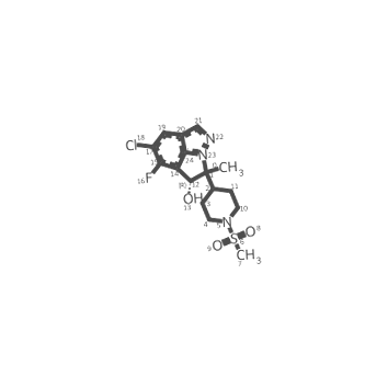 CC1(C2CCN(S(C)(=O)=O)CC2)[C@H](O)c2c(F)c(Cl)cc3cnn1c23